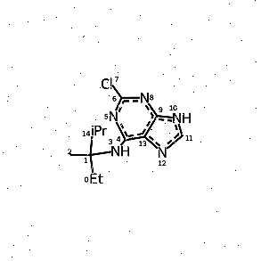 CCC(C)(Nc1nc(Cl)nc2[nH]cnc12)C(C)C